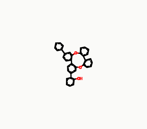 Oc1ccccc1-c1ccc2c(c1)Oc1ccccc1-c1ccccc1Oc1cc(-c3ccccc3)ccc1-2